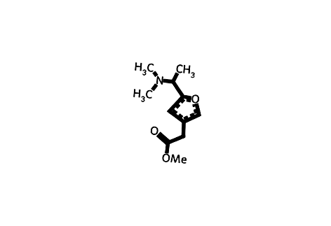 COC(=O)Cc1coc(C(C)N(C)C)c1